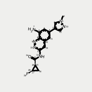 Cn1cc(-c2cc(N)c3nnc(NC(=O)[C@H]4C[C@H]4F)cc3c2)cn1